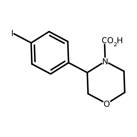 O=C(O)N1CCOCC1c1ccc(I)cc1